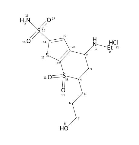 CCNC1CC(CCCO)S(=O)(=O)c2sc(S(N)(=O)=O)cc21.Cl